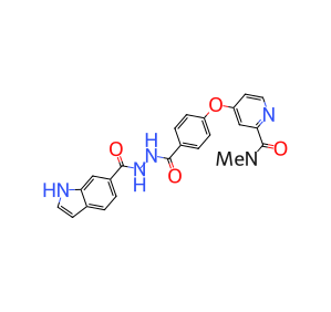 CNC(=O)c1cc(Oc2ccc(C(=O)NNC(=O)c3ccc4cc[nH]c4c3)cc2)ccn1